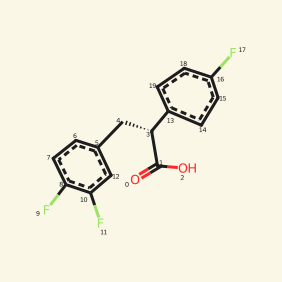 O=C(O)[C@H](Cc1ccc(F)c(F)c1)c1ccc(F)cc1